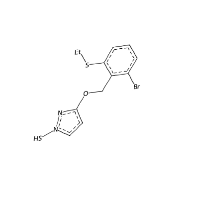 CCSc1cccc(Br)c1COc1ccn(S)n1